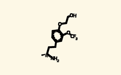 C[C@@H](N)CCc1ccc(OCCO)c(OC(F)(F)F)c1